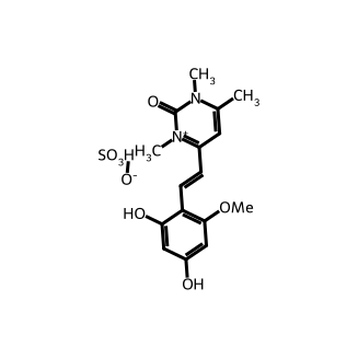 COc1cc(O)cc(O)c1C=Cc1cc(C)n(C)c(=O)[n+]1C.O=S(=O)([O-])O